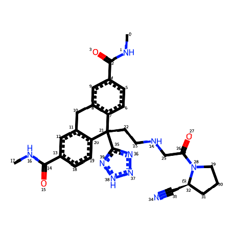 CNC(=O)c1ccc2c(c1)Cc1cc(C(=O)NC)ccc1C2(CCNCC(=O)N1CCC[C@H]1C#N)c1nn[nH]n1